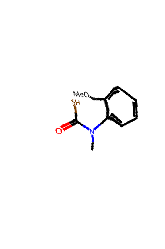 COc1ccccc1N(C)C(=O)S